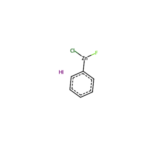 I.[F][Zn]([Cl])[c]1ccccc1